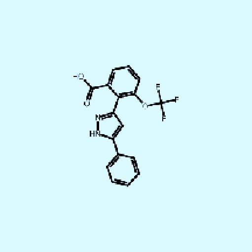 O=C(O)c1cccc(OC(F)(F)F)c1-c1cc(-c2ccccc2)[nH]n1